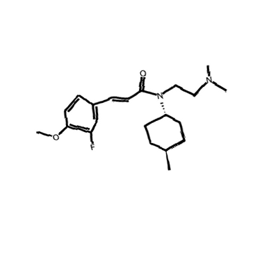 COc1ccc(/C=C/C(=O)N(CCN(C)C)[C@H]2CC[C@H](C)CC2)cc1F